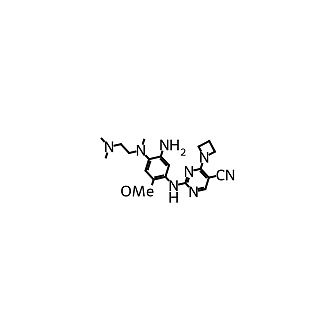 COc1cc(N(C)CCN(C)C)c(N)cc1Nc1ncc(C#N)c(N2CCC2)n1